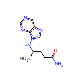 NC(=O)CC[C@H](Nn1cnc2cncnc21)C(=O)O